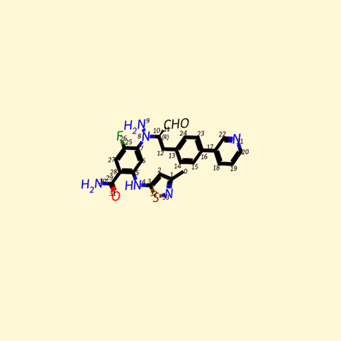 Cc1cc(Nc2cc(N(N)[C@@H](C=O)Cc3ccc(-c4cccnc4)cc3)c(F)cc2C(N)=O)sn1